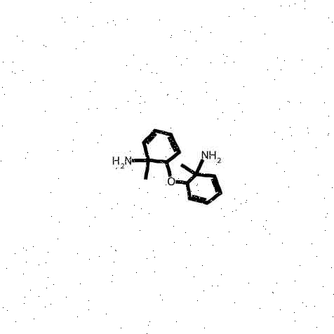 CC1(N)C=CC=CC1OC1C=CC=CC1(C)N